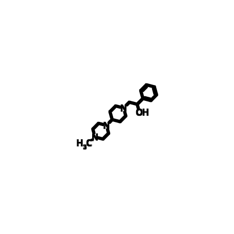 CN1CCN(C2CCN(CC(O)c3ccccc3)CC2)CC1